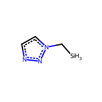 [SiH3]Cn1ccnn1